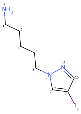 NCCCCCn1cc(I)cn1